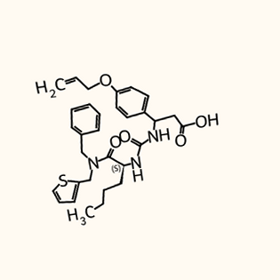 C=CCOc1ccc(C(CC(=O)O)NC(=O)N[C@@H](CCCC)C(=O)N(Cc2ccccc2)Cc2cccs2)cc1